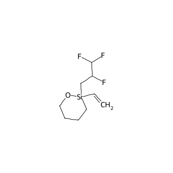 C=C[Si]1(CC(F)C(F)F)CCCCO1